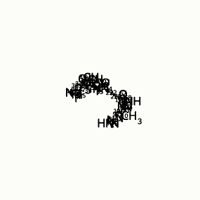 Cc1nc(-c2nc[nH]n2)ccc1-c1cnc2c(n1)N(CCCCCCNC(=O)c1ccc(N3C(=S)N(c4ccc(C#N)c(C(F)(F)F)c4)C(=O)C3(C)C)cc1F)C(=O)CN2